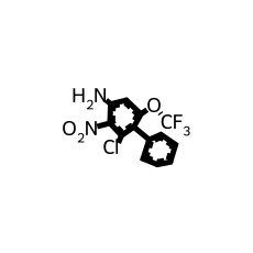 Nc1cc(OC(F)(F)F)c(-c2ccccc2)c(Cl)c1[N+](=O)[O-]